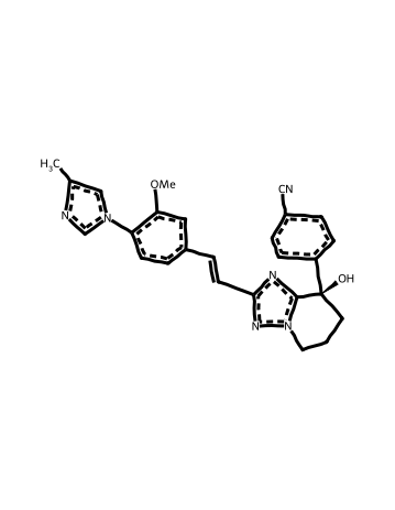 COc1cc(/C=C/c2nc3n(n2)CCC[C@@]3(O)c2ccc(C#N)cc2)ccc1-n1cnc(C)c1